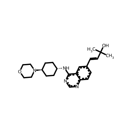 CC(C)(O)/C=C/c1ccc2ncnc(N[C@H]3CC[C@H](N4CCOCC4)CC3)c2c1